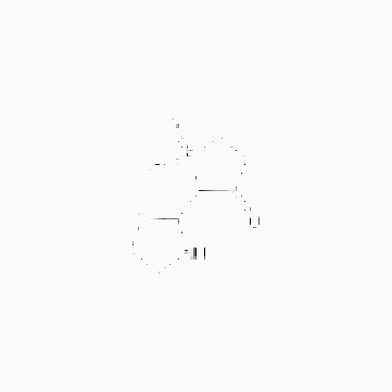 O=C1CCS(=O)(=O)C1C1NCCS1